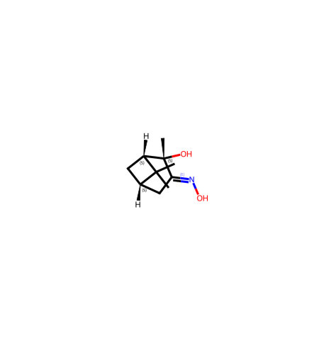 CC1(C)[C@@H]2C/C(=N\O)[C@@](C)(O)[C@H]1C2